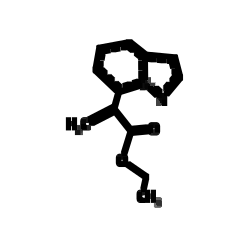 C=C(C(=O)OCC)c1cccc2ccnn12